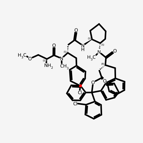 COC[C@H](N)C(=O)N(C)[C@H](CC(=O)N[C@H]1CCCC[C@@H]1N(C)C(=O)[C@@H](CC(=O)OC(c1ccccc1)(c1ccccc1)c1ccccc1Cl)Cc1ccccc1)Cc1ccc(Cl)cc1